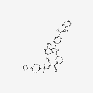 CC(C)(C=C(C#N)C(=O)N1CCCC(n2nc(-c3ccc(C(=O)Nc4ccccn4)cc3)c3c(N)nccc32)C1)N1CCN(C2COC2)CC1